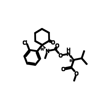 COC(=O)[C@@H](NOC(=O)N(C)[C@]1(c2ccccc2Cl)CCCCC1=O)C(C)C